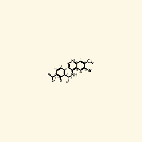 COc1cc2nccc(N[C@H](C)c3cccc(C(F)F)c3F)c2cc1Br